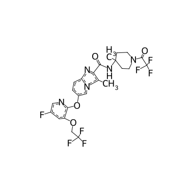 Cc1c(C(=O)NC2(C)CCN(C(=O)C(F)(F)F)CC2)nc2ccc(Oc3ncc(F)cc3OCC(F)(F)F)cn12